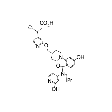 CC(C)CN(C(=O)c1ccc(O)cc1N1CCC(COc2cc(C(CC(=O)O)C3CC3)ccn2)CC1)c1ccnc(O)c1